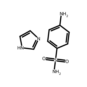 Nc1ccc(S(N)(=O)=O)cc1.c1c[nH]cn1